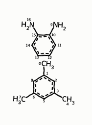 Cc1cc(C)cc(C)c1.Nc1ccccc1N